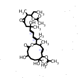 CCC(OC(C)=O)C(C)C1OC1CC(C)(O)/C=C/C=C(\C)C1OC(=O)CC(O)CCC(C)(O)C(OC(C)=O)/C=C/C1C